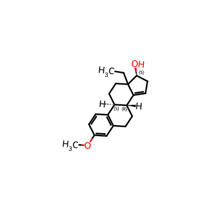 CCC12CC[C@@H]3c4ccc(OC)cc4CC[C@H]3C1=CC[C@@H]2O